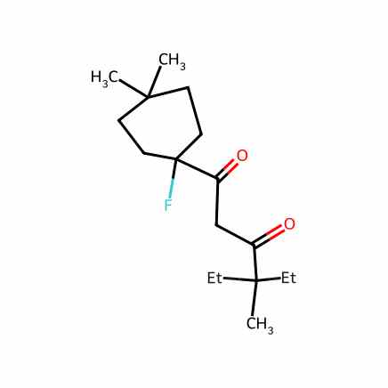 CCC(C)(CC)C(=O)CC(=O)C1(F)CCC(C)(C)CC1